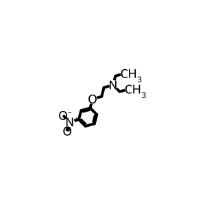 CCN(CC)CCOc1cccc([N+](=O)[O-])c1